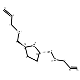 C=CCOC[C@@H]1CC[C@@H](COCC=C)O1